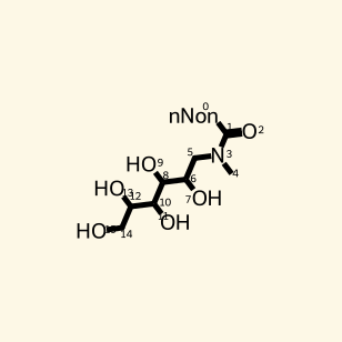 CCCCCCCCCC(=O)N(C)CC(O)C(O)C(O)C(O)CO